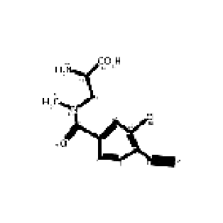 [C]#Cc1ccc(C(=O)N(C)CC(N)C(=O)O)cc1Cl